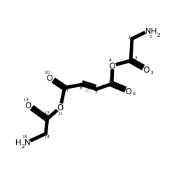 NCC(=O)OC(=O)/C=C/C(=O)OC(=O)CN